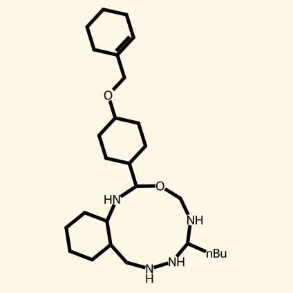 CCCCC1NCOC(C2CCC(OCC3=CCCCC3)CC2)NC2CCCCC2CNN1